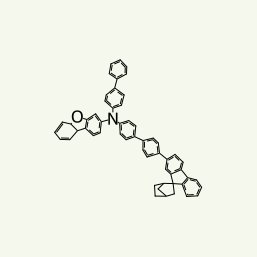 C1=CC2Oc3cc(N(c4ccc(-c5ccccc5)cc4)c4ccc(-c5ccc(-c6ccc7c(c6)C6(CC8CCC6C8)c6ccccc6-7)cc5)cc4)ccc3C2C=C1